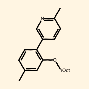 CCCCCCCCOc1cc(C)ccc1-c1ccc(C)nc1